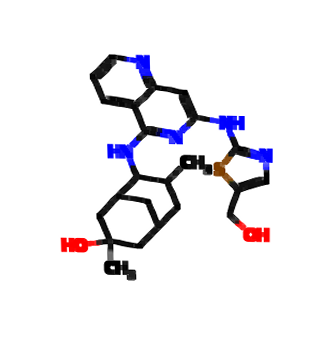 CC1CC2CC(CC(C)(O)C2)C1Nc1nc(Nc2ncc(CO)s2)cc2ncccc12